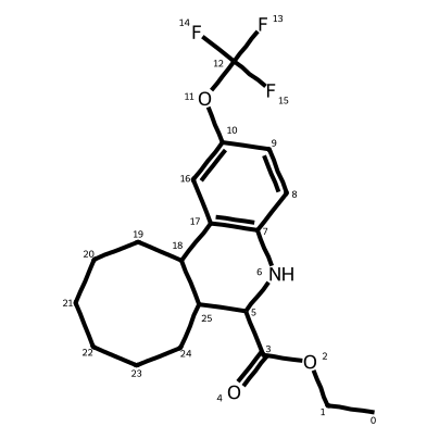 CCOC(=O)C1Nc2ccc(OC(F)(F)F)cc2C2CCCCCCC12